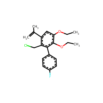 C=C(C)c1cc(OCC)c(OCC)c(-c2ccc(F)cc2)c1CCl